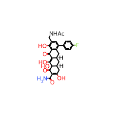 CC(=O)NCc1cc(-c2ccc(F)cc2)c2c(c1O)C(=O)C1=C(O)[C@]3(O)C(=O)C(C(N)=O)=C(O)C[C@@H]3C[C@@H]1C2